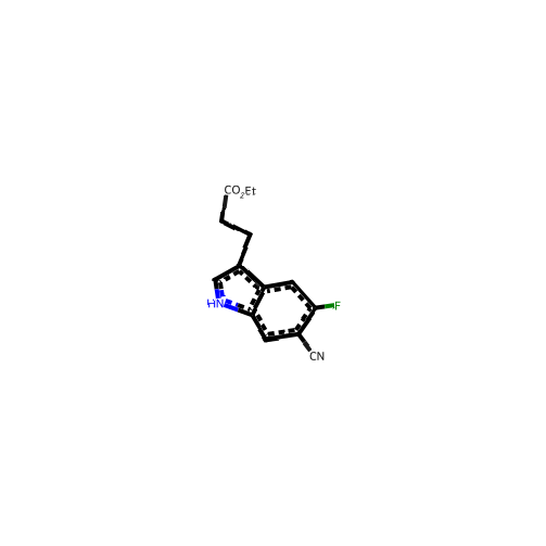 CCOC(=O)CCc1c[nH]c2cc(C#N)c(F)cc12